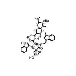 CCCC[C@@H](C(=O)N(C)C)N(C)C(=O)[C@H](Cc1cn(CC(=O)O)c2ccccc12)NC(=O)[C@H](CO)NC(=O)[C@H](Cc1c[nH]c2ccccc12)NC(=O)[C@@]1(O)C[C@@H](O)CN1